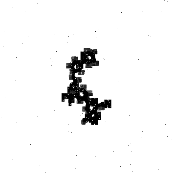 Cn1nnc2c(C#N)nc(-c3ccc(OCC[C@@H]4CCN(c5ccccn5)C4)c(C(F)(F)F)c3)cc21